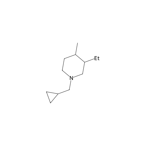 CCC1CN(CC2CC2)CCC1C